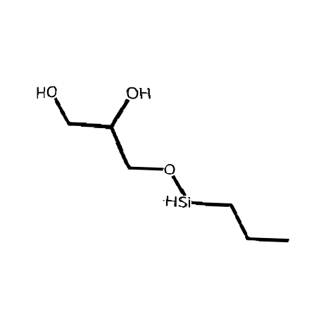 CCC[SiH]OCC(O)CO